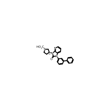 O=C(O)N1CC[C@H](n2c(=O)n(-c3cccc(-c4ccccc4)c3)c3cccnc32)C1